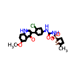 COc1ccc2[nH]cc(-c3ccc(NC(=O)NS(=O)(=O)c4ccc(C)s4)cc3Cl)c(=O)c2c1